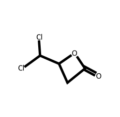 O=C1CC(C(Cl)Cl)O1